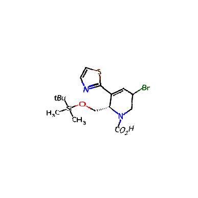 CC(C)(C)[Si](C)(C)OC[C@@H]1C(c2nccs2)=CC(Br)CN1C(=O)O